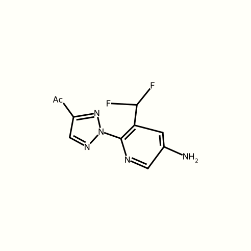 CC(=O)c1cnn(-c2ncc(N)cc2C(F)F)n1